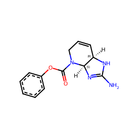 NC1=N[C@@H]2[C@@H](C=CCN2C(=O)Oc2ccccc2)N1